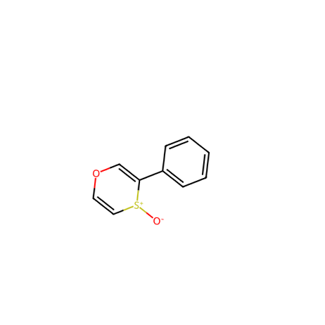 [O-][S+]1C=COC=C1c1ccccc1